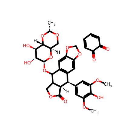 COc1cc([C@@H]2c3cc4c(cc3C(O[C@@H]3O[C@@H]5CO[C@@H](C)O[C@H]5[C@H](O)[C@H]3O)C3COC(=O)[C@@H]32)OCO4)cc(OC)c1O.O=C1C=CC=CC1=O